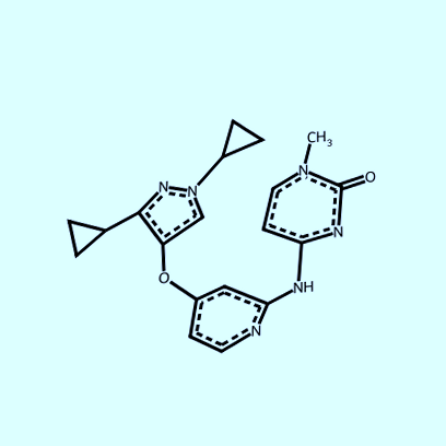 Cn1ccc(Nc2cc(Oc3cn(C4CC4)nc3C3CC3)ccn2)nc1=O